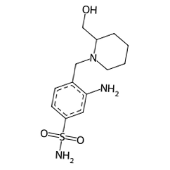 Nc1cc(S(N)(=O)=O)ccc1CN1CCCCC1CO